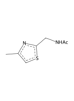 CC(=O)NCc1nc(C)cs1